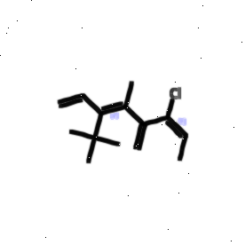 C=C/C(=C(\C)C(=C)/C(Cl)=C\C)C(C)(C)C